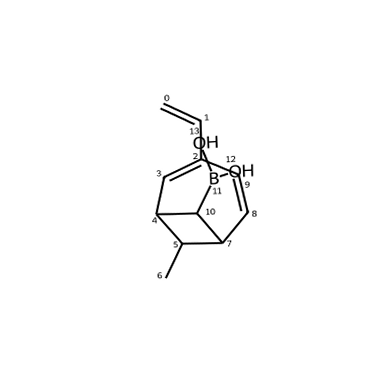 C=CC1=CC2C(C)C(C=C1)C2B(O)O